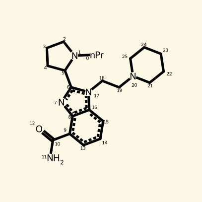 CCCN1CCCC1c1nc2c(C(N)=O)cccc2n1CCN1CCCCC1